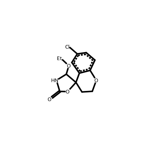 CCOC1NC(=O)OC12CCOc1ccc(Cl)cc12